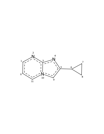 c1cnc2nc(C3CC3)cn2c1